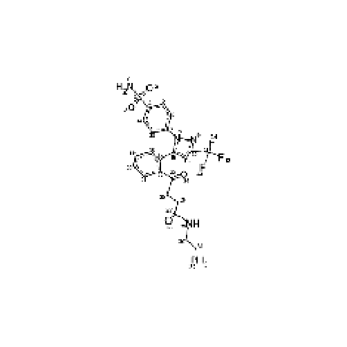 NS(=O)(=O)c1ccc(-n2nc(C(F)(F)F)cc2-c2ccccc2C(=O)CCC(=O)NCCP)cc1